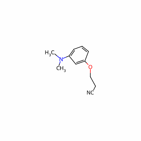 CN(C)c1cccc(OCCC#N)c1